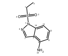 CCS(=O)(=O)n1ncc2c(N)cccc21